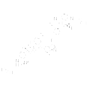 COc1cc(CN2CCN(C3CC4(C3)CN(c3ccc(C(=O)NS(=O)(=O)c5ccc(NCC6CCC(C)(O)CC6)c([N+](=O)[O-])c5)c(Oc5cnc6[nH]cc(F)c6c5)c3)C4)[C@H](c3ccccc3C(C)C)C2)ccc1N1CC(OC)C1